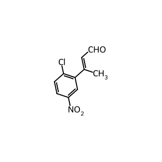 CC(=CC=O)c1cc([N+](=O)[O-])ccc1Cl